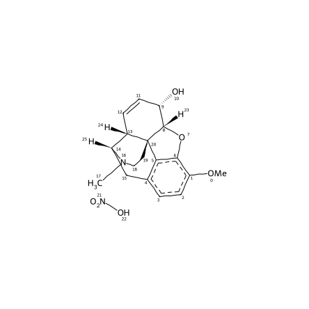 COc1ccc2c3c1O[C@H]1[C@@H](O)C=C[C@H]4[C@@H](C2)N(C)CC[C@@]341.O=[N+]([O-])O